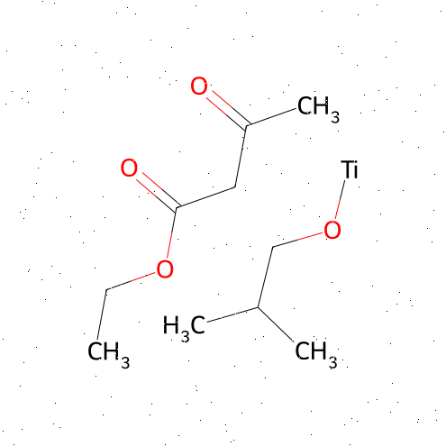 CC(C)C[O][Ti].CCOC(=O)CC(C)=O